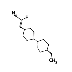 CC[C@H]1CC[C@H]([C@H]2CC[C@H](C=C(F)C#N)CC2)CC1